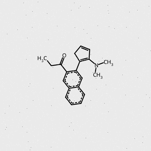 CCC(=O)c1cc2ccccc2cc1C1=C(N(C)C)C=CC1